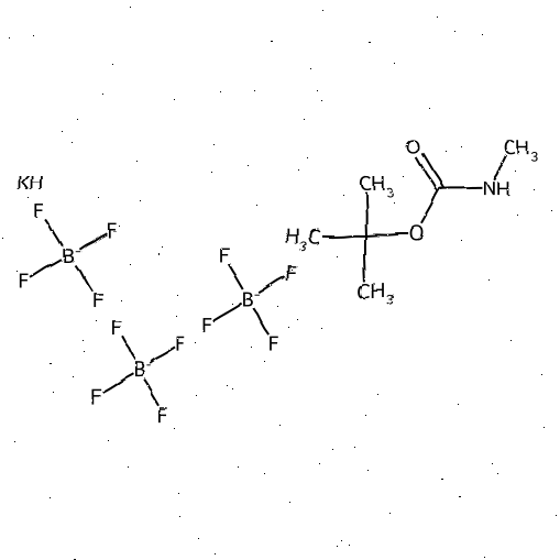 CNC(=O)OC(C)(C)C.F[B-](F)(F)F.F[B-](F)(F)F.F[B-](F)(F)F.[KH]